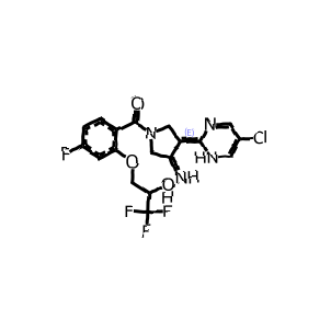 N=C1CN(C(=O)c2ccc(F)cc2OCC(O)C(F)(F)F)C/C1=C1\N=CC(Cl)=CN1